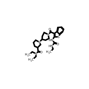 CCNC(=O)Nc1sc2ccccc2c1C(=O)N1CCC(N2CCCC(C(=O)N(CC)CC)C2)CC1